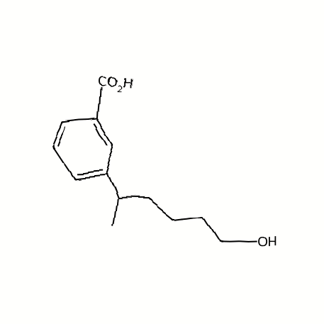 CC(CCCCO)c1cccc(C(=O)O)c1